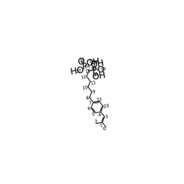 CC(C)=Cc1ccc(CCCCCC(P(=O)(O)O)P(=O)(O)O)cc1